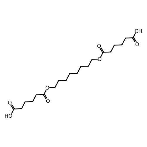 O=C(O)CCCCC(=O)OCCCCCCCCOC(=O)CCCCC(=O)O